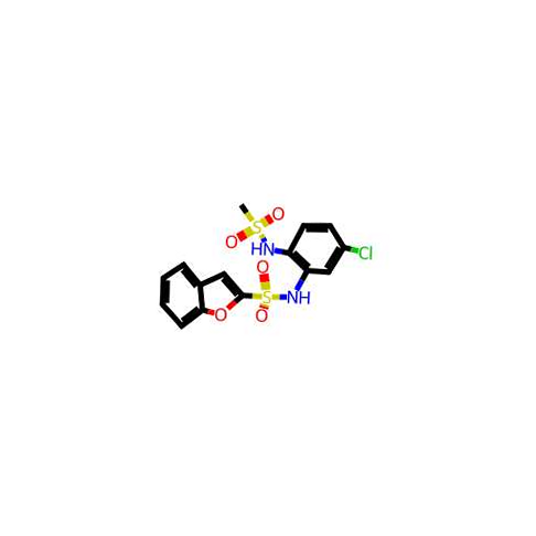 CS(=O)(=O)Nc1ccc(Cl)cc1NS(=O)(=O)c1cc2ccccc2o1